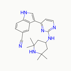 CC1(C)CC(Nc2nccc(-c3c[nH]c4ccc(C#N)cc34)n2)CC(C)(C)N1